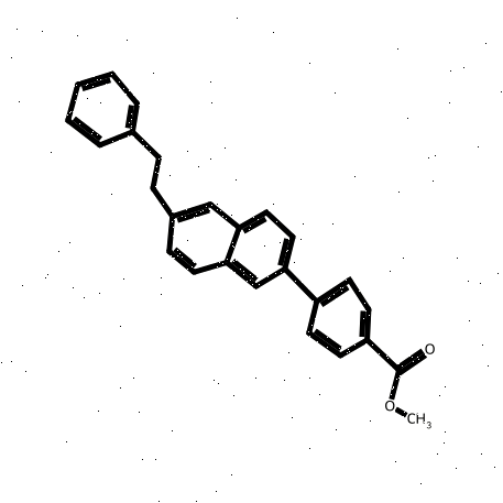 COC(=O)c1ccc(-c2ccc3cc(CCc4ccccc4)ccc3c2)cc1